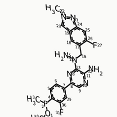 COP(C)c1ccc(-c2cnc(N)c(N(N)Cc3cc4cn(C)nc4cc3F)n2)cc1F